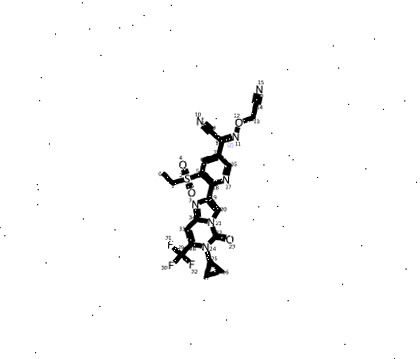 CCS(=O)(=O)c1cc(/C(C#N)=N/OCC#N)cnc1-c1cn2c(=O)n(C3CC3)c(C(F)(F)F)cc2n1